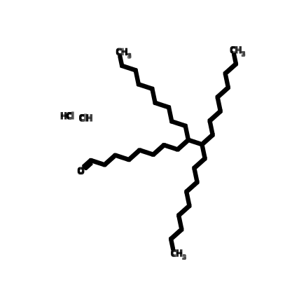 CCCCCCCCCC(CCCCCCCC)C(CCCCCCCC=O)CCCCCCCCC.Cl.Cl